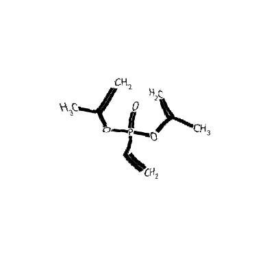 C=CP(=O)(OC(=C)C)OC(=C)C